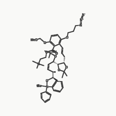 COCOc1ccc(OCCCN=[N+]=[N-])c(/C=C/C[C@@H]2OC(C)(C)O[C@@H]2C(/C=C\[C@@H](C)[C@@H](C)O[Si](c2ccccc2)(c2ccccc2)C(C)(C)C)O[Si](C)(C)C(C)(C)C)c1C(=O)OCC[Si](C)(C)C